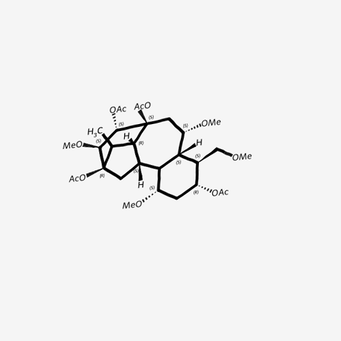 COC[C@@H]1[C@@H]2C([C@@H](OC)C[C@H]1OC(C)=O)[C@@H]1C[C@@]3(OC(C)=O)C(C)[C@@H]1[C@@](OC(C)=O)(C[C@@H]2OC)[C@@H](OC(C)=O)[C@@H]3OC